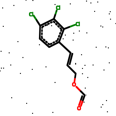 O=[C]OCC=Cc1ccc(Cl)c(Cl)c1Cl